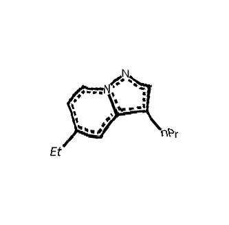 CCCc1cnn2ccc(CC)cc12